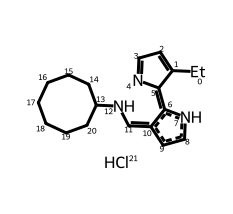 CCC1=CC=NC1=c1[nH]ccc1=CNC1CCCCCCC1.Cl